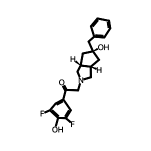 O=C(CN1C[C@@H]2C[C@](O)(Cc3ccccc3)C[C@@H]2C1)c1cc(F)c(O)c(F)c1